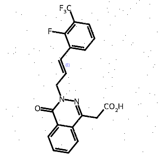 O=C(O)Cc1nn(C/C=C/c2cccc(C(F)(F)F)c2F)c(=O)c2ccccc12